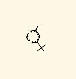 CC(C)(C)c1cc(C(C)(F)F)ncn1